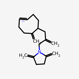 C=C(CC1CC/C=C/CCC1=C)CN1C(=C)CCC1=C